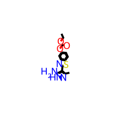 CCOC(=O)Oc1ccc2sc(-c3c(C)n[nH]c3N)nc2c1